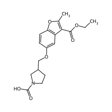 CCOC(=O)c1c(C)oc2ccc(OCC3CCN(C(=O)O)C3)cc12